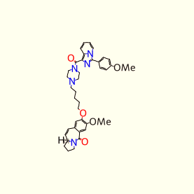 COc1ccc(-c2nc(C(=O)N3CCN(CCCCCOc4cc5c(cc4OC)C(=O)N4CCC[C@H]4C=C5)CC3)c3ccccn23)cc1